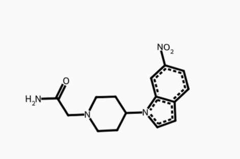 NC(=O)CN1CCC(n2ccc3ccc([N+](=O)[O-])cc32)CC1